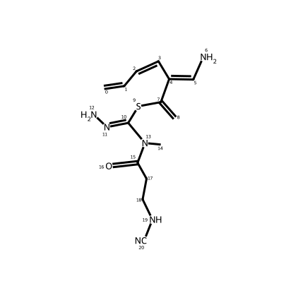 C=C/C=C\C(=C/N)C(=C)S/C(=N\N)N(C)C(=O)CCNC#N